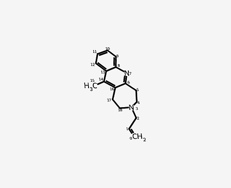 C=CCN1CCc2nc3ccccc3c(C)c2CC1